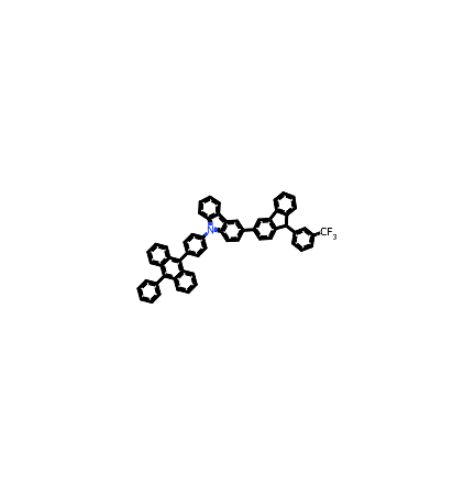 FC(F)(F)c1cccc(C2c3ccccc3-c3cc(-c4ccc5c(c4)c4ccccc4n5-c4ccc(-c5c6ccccc6c(-c6ccccc6)c6ccccc56)cc4)ccc32)c1